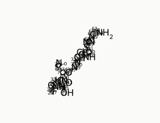 Cc1ncsc1-c1ccc(CNC(=O)[C@@H]2C[C@@H](O)CN2C(=O)[C@@H](NC(=O)C2(F)CC2)C(C)(C)C)c(OCCN2CCN(C(=O)CC(=O)Nc3cccc(Sc4cnc(N5CCC(C)(CN)CC5)cn4)c3Cl)[C@@H](C)C2)c1